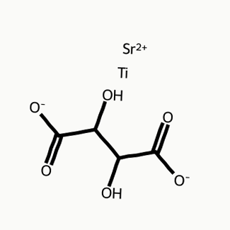 O=C([O-])C(O)C(O)C(=O)[O-].[Sr+2].[Ti]